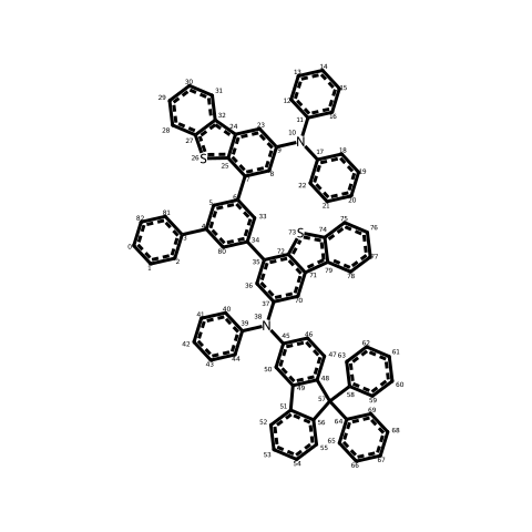 c1ccc(-c2cc(-c3cc(N(c4ccccc4)c4ccccc4)cc4c3sc3ccccc34)cc(-c3cc(N(c4ccccc4)c4ccc5c(c4)-c4ccccc4C5(c4ccccc4)c4ccccc4)cc4c3sc3ccccc34)c2)cc1